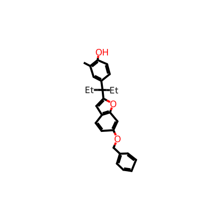 CCC(CC)(c1ccc(O)c(C)c1)c1cc2ccc(OCc3ccccc3)cc2o1